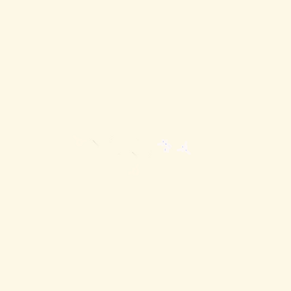 CCN(C)/C=N/c1cc2c(cc1C)C(c1cccc(OC)c1)CCO2